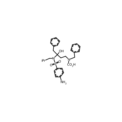 CC(C)CN(C(O)(CCN(Cc1ccccc1)C(=O)O)Cc1ccccc1)S(=O)(=O)c1ccc(N)cc1